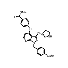 COC(=O)c1ccc(Oc2ccnc3c2c(N[C@@H]2CCNC2)nn3Cc2ccc(OC)cc2)cc1